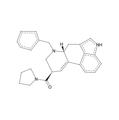 O=C([C@@H]1C=C2c3cccc4[nH]cc(c34)C[C@H]2N(Cc2ccccc2)C1)N1CCCC1